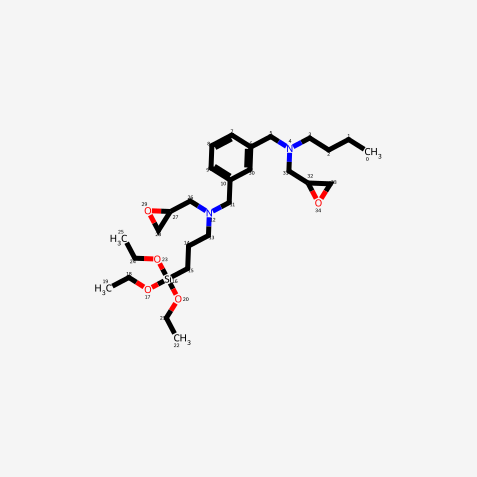 CCCCN(Cc1cccc(CN(CCC[Si](OCC)(OCC)OCC)CC2CO2)c1)CC1CO1